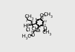 CCCC(C)(PCl)c1cc(OC)cc(OC)c1OCOC